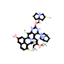 C#Cc1c(F)ccc2cc(O)cc(-c3nc(/C=C(\CC)OC)c4c(N5CC6CCC(C5)N6)nc(OC[C@@]56CCCN5C[C@H](F)C6)nc4c3F)c12